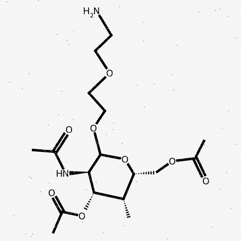 CC(=O)N[C@H]1C(OCCOCCN)O[C@H](COC(C)=O)[C@H](C)[C@@H]1OC(C)=O